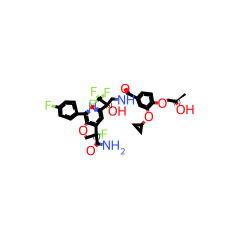 C[C@@H](O)COc1ccc(C(=O)NC[C@](O)(c2cc3c(c(-c4ccc(F)cc4)n2)OC[C@@]3(F)C(N)=O)C(F)(F)F)cc1OC1CC1